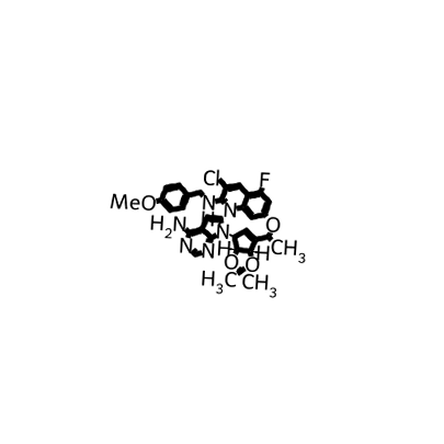 COc1ccc(CNc2nc3cc(OC(C)C4=C[C@@H](n5ccc6c(N)ncnc65)[C@@H]5OC(C)(C)O[C@H]45)cc(F)c3cc2Cl)cc1